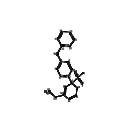 CS(=O)(=O)[N+]1(c2ccc(Oc3ccccc3)cc2)C=C(CN)C=CC1